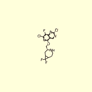 Fc1c(Cl)nc(OC[C@@H]2CC3C(CCN2)C3(F)F)c2cnc(Cl)nc12